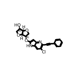 O[C@@H]1CO[C@H]2[C@@H]1OC[C@H]2Oc1cc2nc(C#Cc3ccccc3)c(Cl)cc2[nH]1